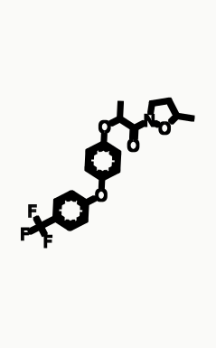 CC1CCN(C(=O)C(C)Oc2ccc(Oc3ccc(C(F)(F)F)cc3)cc2)O1